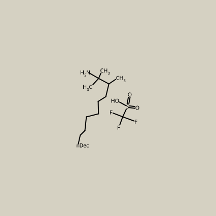 CCCCCCCCCCCCCCCCC(C)C(C)(C)N.O=S(=O)(O)C(F)(F)F